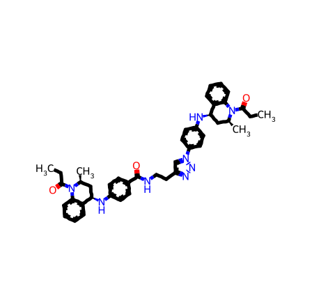 CCC(=O)N1c2ccccc2[C@H](Nc2ccc(C(=O)NCCc3cn(-c4ccc(N[C@@H]5C[C@H](C)N(C(=O)CC)c6ccccc65)cc4)nn3)cc2)C[C@@H]1C